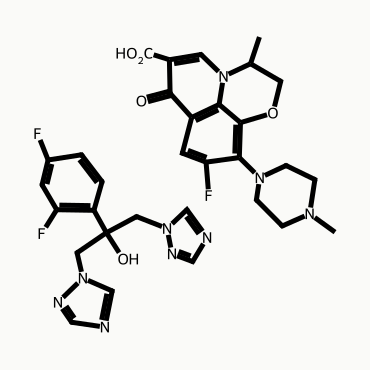 CC1COc2c(N3CCN(C)CC3)c(F)cc3c(=O)c(C(=O)O)cn1c23.OC(Cn1cncn1)(Cn1cncn1)c1ccc(F)cc1F